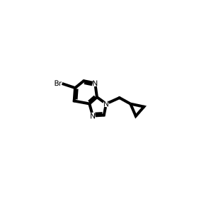 Brc1cnc2c(c1)ncn2CC1CC1